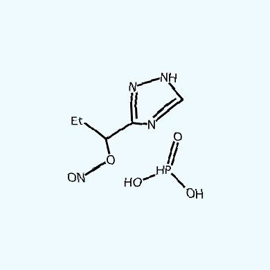 CCC(ON=O)c1nc[nH]n1.O=[PH](O)O